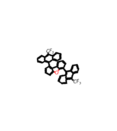 FC(F)(F)c1c2ccccc2c(-c2cccc3c2oc2cccc(-c4c5ccccc5c(C(F)(F)F)c5ccccc45)c23)c2ccccc12